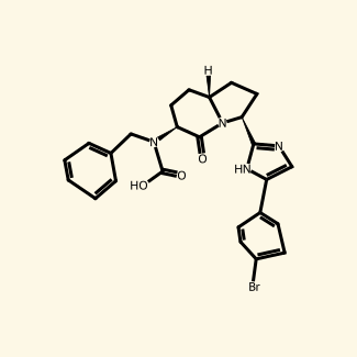 O=C(O)N(Cc1ccccc1)[C@H]1CC[C@@H]2CC[C@@H](c3ncc(-c4ccc(Br)cc4)[nH]3)N2C1=O